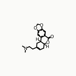 CN(C)CCC1=CC[C@H]2OC(=O)c3cc4c(cc3[C@H]2C1)OCO4